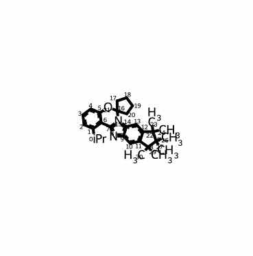 CC(C)c1cccc2c1-c1nc3cc4c(cc3n1C1(CCCC1)O2)C(C)(C)C(C)(C)C4(C)C